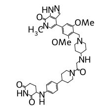 COc1cc(-c2cn(C)c(=O)c3[nH]ncc23)cc(OC)c1CN1CCC(NCC(=O)N2CCC(c3ccc(NC4CCC(=O)NC4=O)cc3)CC2)CC1